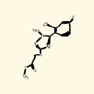 COC(=O)COc1nc(-c2ccc(F)cc2Cl)n(O)n1